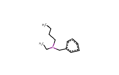 CCCCP(CC)Cc1ccccc1